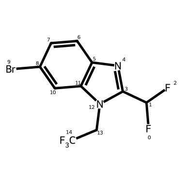 FC(F)c1nc2ccc(Br)cc2n1CC(F)(F)F